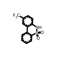 O=S1(=O)Nc2ccc(C(F)(F)F)cc2-c2ccccc21